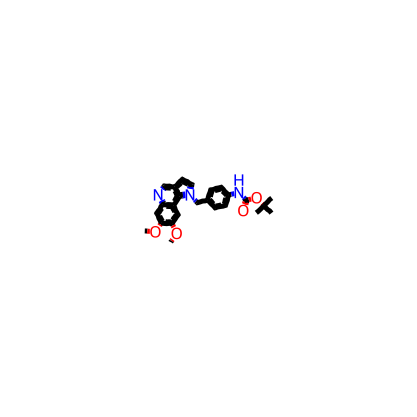 COc1cc2ncc3ccn(Cc4ccc(NC(=O)OC(C)(C)C)cc4)c3c2cc1OC